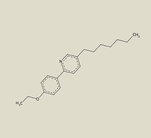 CCCCCCCc1ccc(-c2ccc(OCC)cc2)nc1